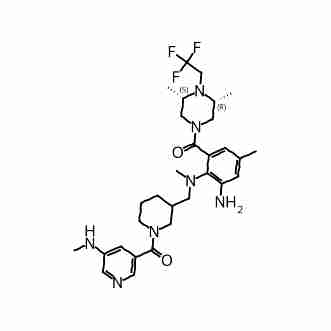 CNc1cncc(C(=O)N2CCCC(CN(C)c3c(N)cc(C)cc3C(=O)N3C[C@@H](C)N(CC(F)(F)F)[C@@H](C)C3)C2)c1